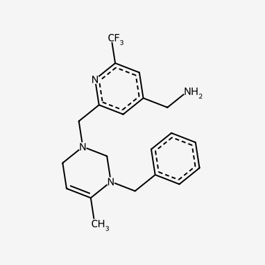 CC1=CCN(Cc2cc(CN)cc(C(F)(F)F)n2)CN1Cc1ccccc1